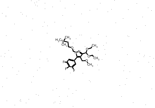 CCOC(OCC)c1nn(COCC[Si](C)(C)C)c(-c2cc(F)c(F)c(F)c2)c1COC